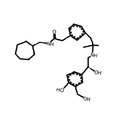 CC(C)(Cc1cccc(CC(=O)NCC2CCCCCC2)c1)NC[C@@H](O)c1ccc(O)c(CO)c1